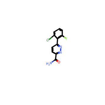 NC(=O)c1ccc(-c2c(F)cccc2Cl)nn1